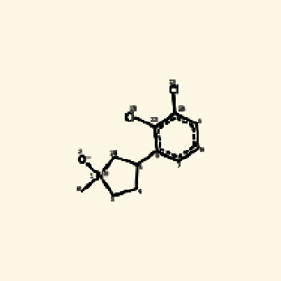 C[N+]1([O-])CCC(c2cccc(Cl)c2Cl)C1